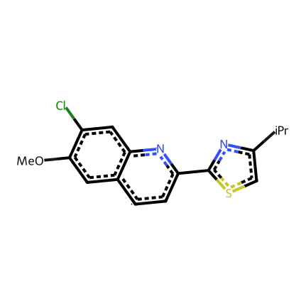 COc1cc2[c]cc(-c3nc(C(C)C)cs3)nc2cc1Cl